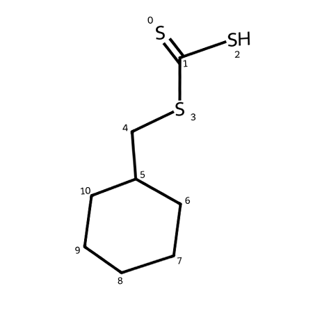 S=C(S)SCC1CCCCC1